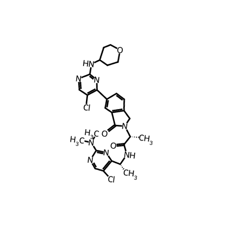 C[C@H](C(=O)N[C@H](C)c1nc(N(C)C)ncc1Cl)N1Cc2ccc(-c3nc(NC4CCOCC4)ncc3Cl)cc2C1=O